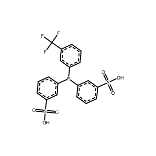 O=S(=O)(O)c1cccc(P(c2cccc(C(F)(F)F)c2)c2cccc(S(=O)(=O)O)c2)c1